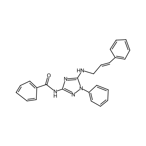 O=C(Nc1nc(NCC=Cc2ccccc2)n(-c2ccccc2)n1)c1ccccc1